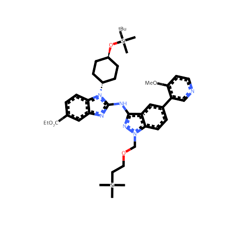 CCOC(=O)c1ccc2c(c1)nc(Nc1nn(COCC[Si](C)(C)C)c3ccc(-c4cnccc4OC)cc13)n2[C@H]1CC[C@H](O[Si](C)(C)C(C)(C)C)CC1